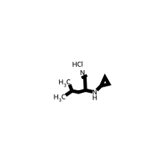 CC(C)CC(C#N)NC1CC1.Cl